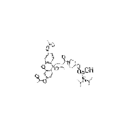 CCOC1(CCC(=O)N2CCC(OOP(O)N(C(C)C)C(C)C)CC2)c2ccc(OC(C)=O)cc2Oc2cc(OC(C)=O)ccc21